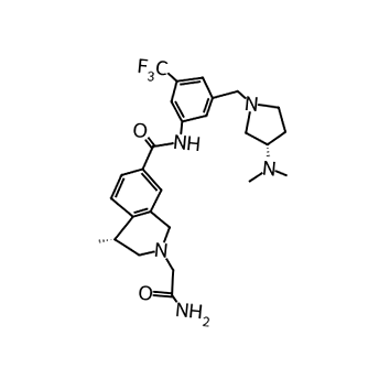 C[C@H]1CN(CC(N)=O)Cc2cc(C(=O)Nc3cc(CN4CC[C@H](N(C)C)C4)cc(C(F)(F)F)c3)ccc21